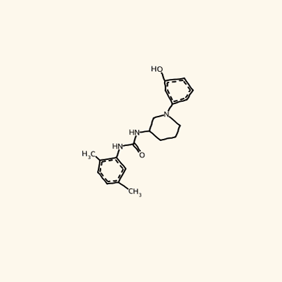 Cc1ccc(C)c(NC(=O)NC2CCCN(c3cccc(O)c3)C2)c1